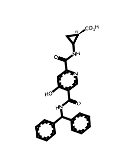 O=C(NC1C[C@H]1C(=O)O)c1cc(O)c(C(=O)NC(c2ccccc2)c2ccccc2)cn1